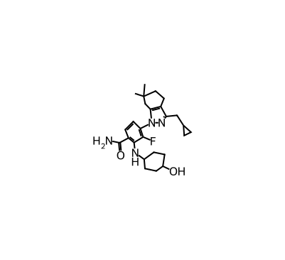 CC1(C)CCc2c(CC3CC3)nn(-c3ccc(C(N)=O)c(NC4CCC(O)CC4)c3F)c2C1